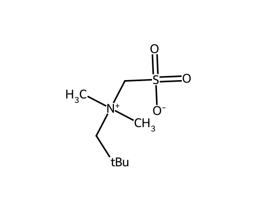 CC(C)(C)C[N+](C)(C)CS(=O)(=O)[O-]